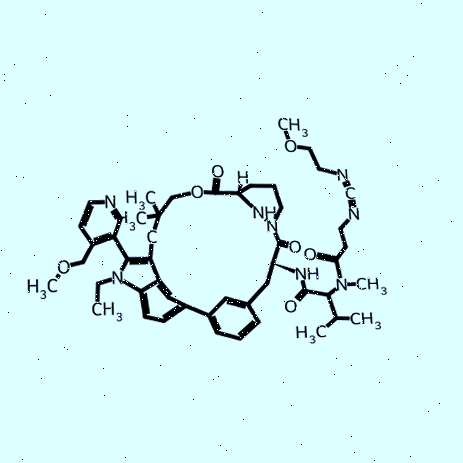 CCn1c(-c2cnccc2COC)c2c3cc(ccc31)-c1cccc(c1)C[C@H](NC(=O)C(C(C)C)N(C)C(=O)CCN=C=NCCOC)C(=O)N1CCC[C@H](N1)C(=O)OCC(C)(C)C2